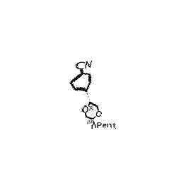 CCCCC[C@H]1CO[C@H](c2ccc(C#N)cc2)CO1